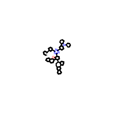 C1=CCC(n2c3c(c4cc(-c5nc(-c6cccc(-c7ccccc7)c6)nc(-c6ccc(C7CCc8cc9ccccc9cc8-c8ccccc87)c7c6oc6c8ccccc8ccc67)n5)ccc42)CCC=C3)C=C1